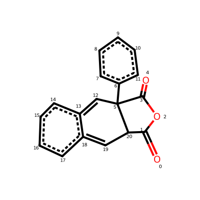 O=C1OC(=O)C2(c3ccccc3)C=c3ccccc3=CC12